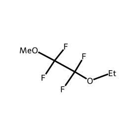 CCOC(F)(F)C(F)(F)OC